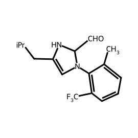 Cc1cccc(C(F)(F)F)c1N1C=C(CC(C)C)NC1C=O